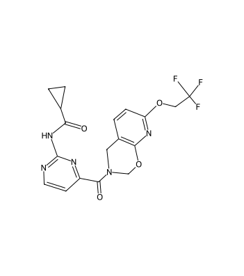 O=C(Nc1nccc(C(=O)N2COc3nc(OCC(F)(F)F)ccc3C2)n1)C1CC1